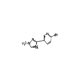 CC(C)c1ccc(-c2ncn(C)n2)cn1